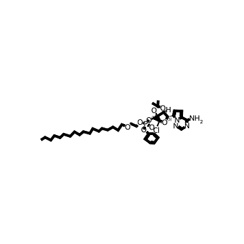 CCCCCCCCCCCCCCCCCCOCCOP(=O)(Oc1ccccc1Cl)O[C@H]1[C@]23OC(C)(C)O[C@H]2[C@H](c2ccc4c(N)ncnn24)O[C@]13C